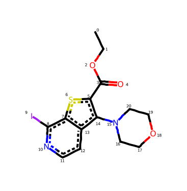 CCOC(=O)c1sc2c(I)nccc2c1N1CCOCC1